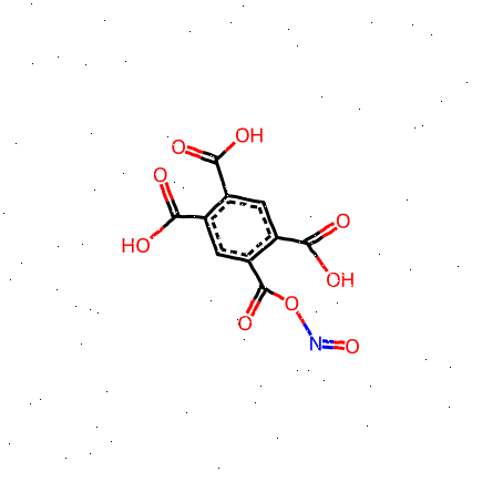 O=NOC(=O)c1cc(C(=O)O)c(C(=O)O)cc1C(=O)O